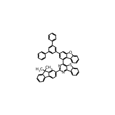 CC1(C)c2ccccc2-c2ccc(-c3nc(-c4cc(-c5cc(-c6ccccc6)cc(-c6ccccc6)c5)cc5oc6ccccc6c45)c4sc5ccccc5c4n3)cc21